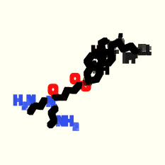 CC[C@H](CC[C@@H](C)[C@H]1CC[C@H]2[C@@H]3CC=C4C[C@@H](OC(=O)CCCC(=O)N(CCC(C)N)CCC(C)N)CC[C@]4(C)[C@H]3CC[C@]12C)C(C)C